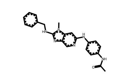 CC(=O)Nc1ccc(Nc2cc3c(cn2)nc(NCc2ccccc2)n3C)cc1